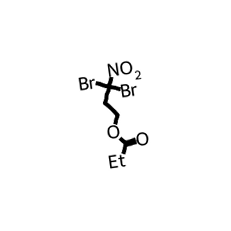 CCC(=O)OCCC(Br)(Br)[N+](=O)[O-]